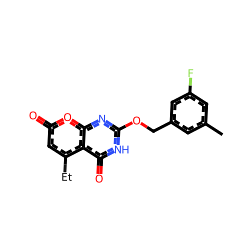 CCc1cc(=O)oc2nc(OCc3cc(C)cc(F)c3)[nH]c(=O)c12